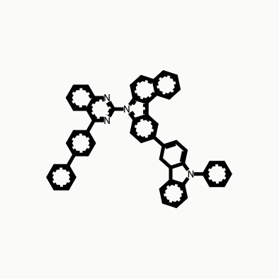 C1=C(c2ccc3c(c2)c2c4ccccc4ccc2n3-c2nc(-c3ccc(-c4ccccc4)cc3)c3ccccc3n2)CC2C(=C1)N(c1ccccc1)c1ccccc12